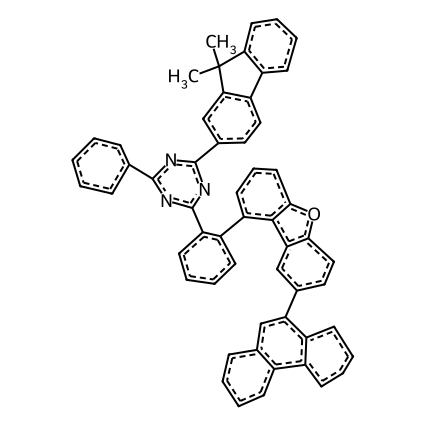 CC1(C)c2ccccc2-c2ccc(-c3nc(-c4ccccc4)nc(-c4ccccc4-c4cccc5oc6ccc(-c7cc8ccccc8c8ccccc78)cc6c45)n3)cc21